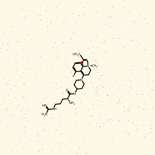 C[N@+]12CC=C(C(=O)O)C(=O)C13C=CC=C(F)C3=C(N1CCC(OC(=O)[C@@H](N)CCCNC(=N)N)CC1)CC2